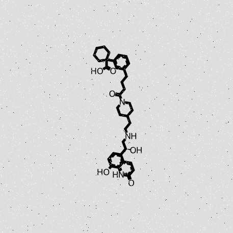 O=C(CCCc1cccc(C2(C(=O)O)CCCCC2)c1)N1CCC(CCNC[C@H](O)c2ccc(O)c3[nH]c(=O)ccc23)CC1